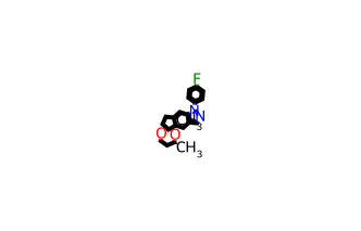 C[C@@H]1CCOC2(CCC3=Cc4c(cnn4-c4ccc(F)cc4)C[C@@]32C)O1